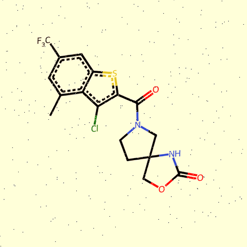 Cc1cc(C(F)(F)F)cc2sc(C(=O)N3CCC4(COC(=O)N4)C3)c(Cl)c12